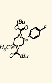 C[C@@H]1CN(C(=O)OC(C)(C)C)[C@H](c2ccc(F)cc2)CN1C(=O)C(C)(C)C